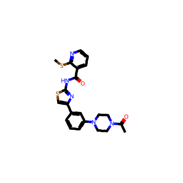 CSc1ncccc1C(=O)Nc1nc(-c2cccc(N3CCN(C(C)=O)CC3)c2)cs1